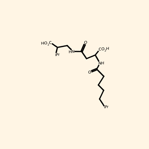 CC(C)CCCCC(=O)NC(CC(=O)NCC(C(=O)O)C(C)C)C(=O)O